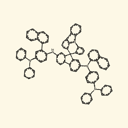 c1ccc(N(c2ccccc2)c2ccc(N(c3ccc4c(c3)C3(c5cc(Nc6ccc(N(c7ccccc7)c7ccccc7)cc6-c6cccc7ccccc67)ccc5-4)c4ccccc4-n4c5ccccc5c5cccc3c54)c3cccc4ccccc34)cc2)cc1